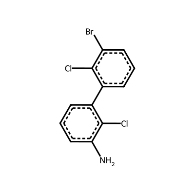 Nc1cccc(-c2cccc(Br)c2Cl)c1Cl